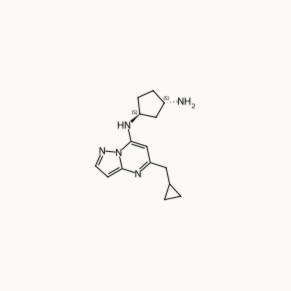 N[C@H]1CC[C@H](Nc2cc(CC3CC3)nc3ccnn23)C1